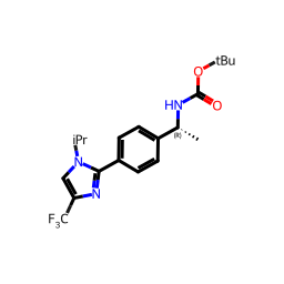 CC(C)n1cc(C(F)(F)F)nc1-c1ccc([C@@H](C)NC(=O)OC(C)(C)C)cc1